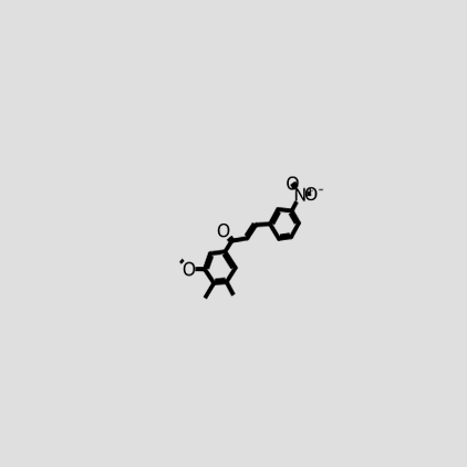 COc1cc(C(=O)/C=C/c2cccc([N+](=O)[O-])c2)cc(C)c1C